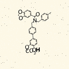 Cc1ccc(CN(Cc2ccc(-c3ccc(O)c(OC(=O)O)c3)cc2)C(=O)c2ccc3c(c2)OCO3)cc1